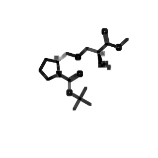 COC(=O)[C@@H](N)COC[C@H]1CCCN1C(=O)OC(C)(C)C